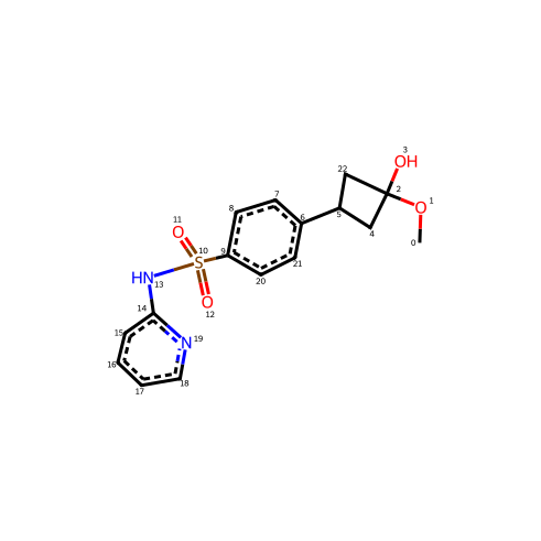 COC1(O)CC(c2ccc(S(=O)(=O)Nc3ccccn3)cc2)C1